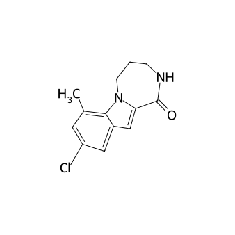 Cc1cc(Cl)cc2cc3n(c12)CCCNC3=O